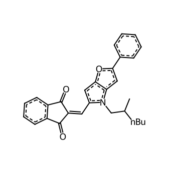 CCCCC(C)Cn1c(C=C2C(=O)c3ccccc3C2=O)cc2oc(-c3ccccc3)cc21